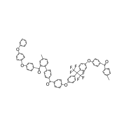 Cc1ccc(C(=O)c2ccc(Oc3ccc(C(c4ccc(Oc5ccc(C(=O)c6ccc(-c7ccc(C)cc7C(=O)c7ccc(Oc8ccc(Oc9ccccc9)cc8)cc7)cc6)cc5)cc4)(C(F)(F)F)C(F)(F)F)cc3)cc2)cc1